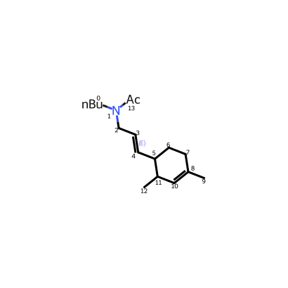 CCCCN(C/C=C/C1CCC(C)=CC1C)C(C)=O